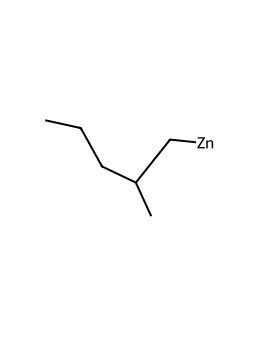 CCCC(C)[CH2][Zn]